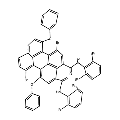 CC(C)c1cccc(C(C)C)c1NC(=O)c1cc(Br)c2c3c(Oc4ccccc4)ccc4ccc(Br)c(c5c(Oc6ccccc6)cc(C(=O)Nc6c(C(C)C)cccc6C(C)C)c1c25)c43